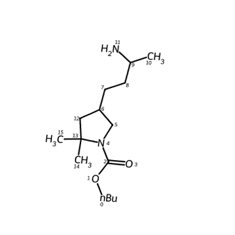 CCCCOC(=O)N1CC(CCC(C)N)CC1(C)C